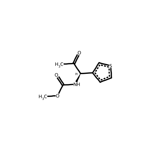 COC(=O)N[C@@H](C(C)=O)c1ccsc1